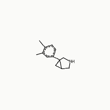 Cc1ccc(C23CNCC2C3)cc1C